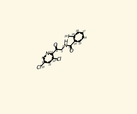 O=C(NCC(=O)c1ncc(Cl)cc1Cl)c1ccccc1I